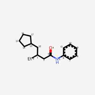 CCC(CC(=O)Nc1ccccc1)CC1CCCC1